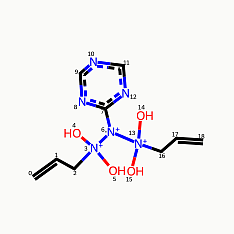 C=CC[N+](O)(O)[N+](c1ncncn1)[N+](O)(O)CC=C